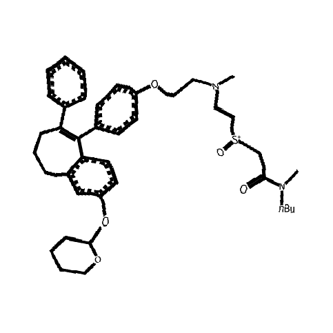 CCCCN(C)C(=O)C[S+]([O-])CCN(C)CCOc1ccc(C2=C(c3ccccc3)CCCc3cc(OC4CCCCO4)ccc32)cc1